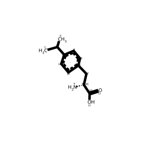 CC(C)c1ccc(C[C@@H](N)C(=O)O)cc1